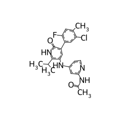 CC(=O)Nc1cc(Nc2cc(-c3cc(Cl)c(C)cc3F)c(=O)[nH]c2C(C)C)ccn1